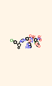 O=C(N[S+]([O-])c1cc(F)c(C[C@H]2COCCO2)c([N+](=O)[O-])c1)c1ccc(N2CCN(CC3=C(c4ccc(Cl)cc4)CC4(CCC4)CC3)CC2)cc1Oc1cnc2[nH]ccc2c1